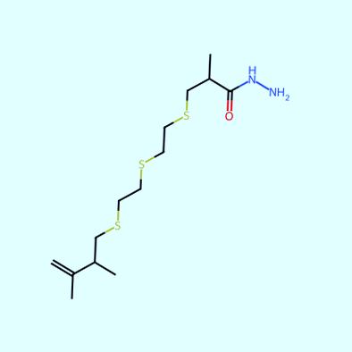 C=C(C)C(C)CSCCSCCSCC(C)C(=O)NN